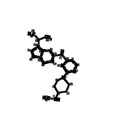 CNC1CCN(c2nccc(Nc3cc4c(cn3)ncn4C(C)C)n2)CC1